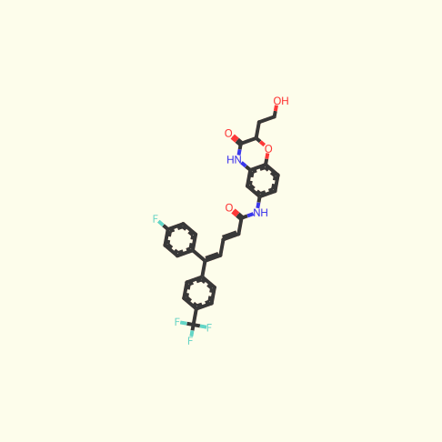 O=C(C=CC=C(c1ccc(F)cc1)c1ccc(C(F)(F)F)cc1)Nc1ccc2c(c1)NC(=O)C(CCO)O2